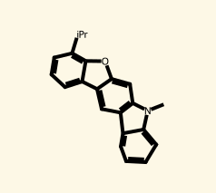 CC(C)c1cccc2c1oc1cc3c(cc12)c1ccccc1n3C